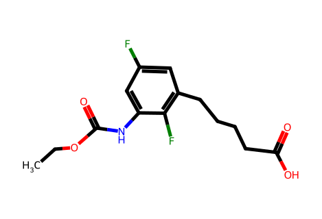 CCOC(=O)Nc1cc(F)cc(CCCCC(=O)O)c1F